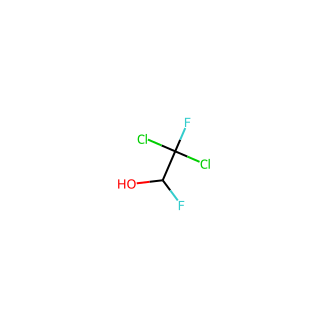 OC(F)C(F)(Cl)Cl